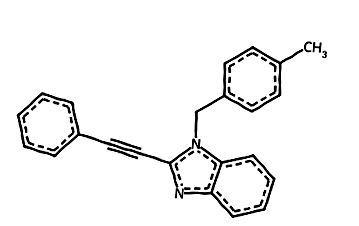 Cc1ccc(Cn2c(C#Cc3ccccc3)nc3ccccc32)cc1